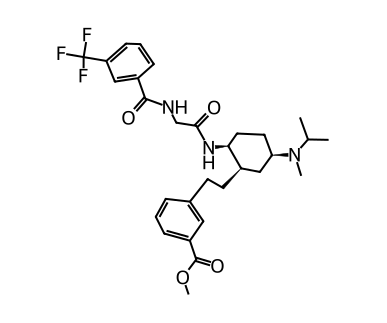 COC(=O)c1cccc(CC[C@@H]2C[C@H](N(C)C(C)C)CC[C@@H]2NC(=O)CNC(=O)c2cccc(C(F)(F)F)c2)c1